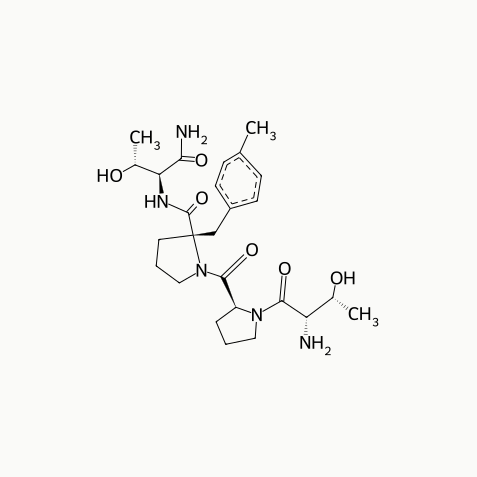 Cc1ccc(C[C@]2(C(=O)N[C@H](C(N)=O)[C@@H](C)O)CCCN2C(=O)[C@@H]2CCCN2C(=O)[C@@H](N)[C@@H](C)O)cc1